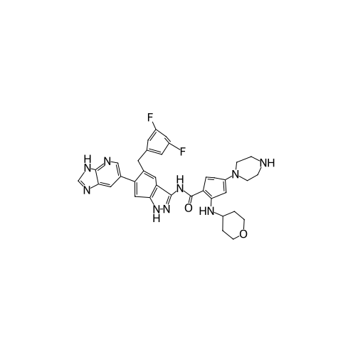 O=C(Nc1n[nH]c2cc(-c3cnc4[nH]cnc4c3)c(Cc3cc(F)cc(F)c3)cc12)c1ccc(N2CCNCC2)cc1NC1CCOCC1